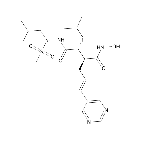 CC(C)C[C@@H](C(=O)NN(CC(C)C)S(C)(=O)=O)[C@H](CC=Cc1cncnc1)C(=O)NO